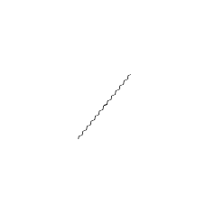 [CH2]CCCCCCCCCCC/C=C/CCCCCCCCCCCC[CH2]